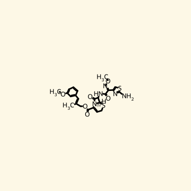 CON=C(C(=O)NC1C(=O)N2C(C(=O)OCC(C)=Cc3cccc(OC)c3)=CCS[C@@H]12)c1csc(N)n1